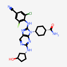 N#Cc1cc(F)c(Nc2nc3cnc(N[C@@H]4CCC(O)C4)nc3n2[C@H]2CC[C@@H](C(N)=O)CC2)c(Cl)c1